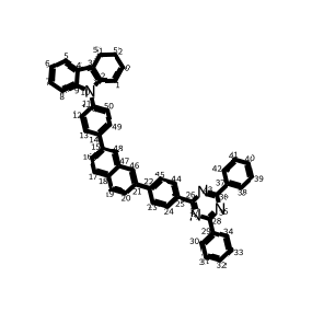 C1=Cc2c(c3ccccc3n2-c2ccc(-c3ccc4ccc(-c5ccc(-c6nc(-c7ccccc7)nc(-c7ccccc7)n6)cc5)cc4c3)cc2)CC1